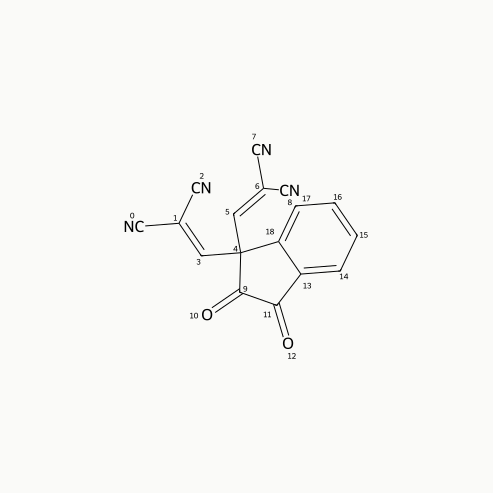 N#CC(C#N)=CC1(C=C(C#N)C#N)C(=O)C(=O)c2ccccc21